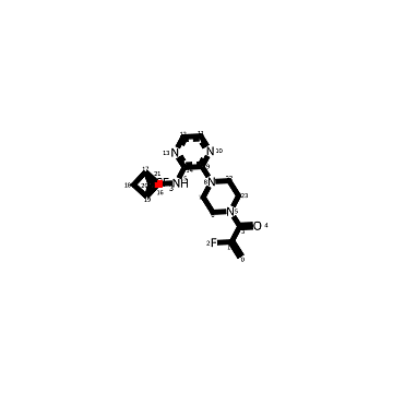 C=C(F)C(=O)N1CCN(c2nccnc2NC2C3CC2C3C(F)(F)F)CC1